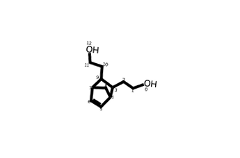 OCCC1C2C=CC(C2)C1CCO